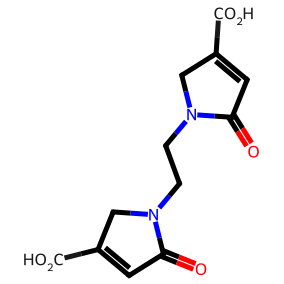 O=C(O)C1=CC(=O)N(CCN2CC(C(=O)O)=CC2=O)C1